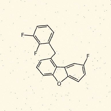 Fc1ccc2oc3cc[c]c(Cc4cccc(F)c4F)c3c2c1